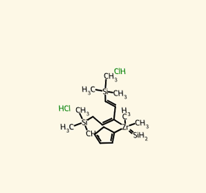 C[Si](C)(C)C=C[C](=CC[Si](C)(C)C)[Zr]([CH3])([CH3])(=[SiH2])[C]1=CC=CC1.Cl.Cl